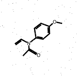 C=CN(C(C)=O)c1ccc(OC)cc1